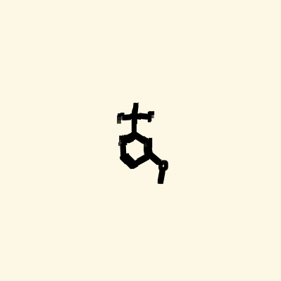 COc1ccnc(C(C)(F)F)n1